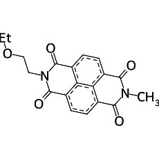 CCOCCN1C(=O)c2ccc3c4c(ccc(c24)C1=O)C(=O)N(C)C3=O